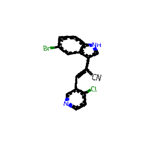 N#CC(=Cc1cnccc1Cl)c1c[nH]c2ccc(Br)cc12